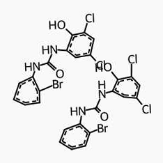 O=C(Nc1ccccc1Br)Nc1cc(Cl)cc(Cl)c1O.O=C(Nc1ccccc1Br)Nc1cc(Cl)cc(Cl)c1O